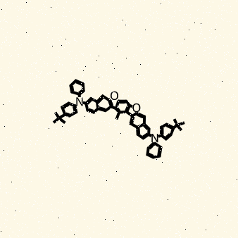 Cc1c2c(cc3oc4cc5cc(N(c6ccccc6)c6ccc(C(C)(C)C)cc6)ccc5cc4c13)oc1cc3cc(N(c4ccccc4)c4ccc(C(C)(C)C)cc4)ccc3cc12